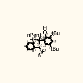 CCCCCC(C)(Pc1ccccc1CN(C)C)c1cc(C(C)(C)C)cc(C(C)(C)C)c1O